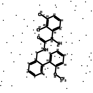 O=C(NCc1cccnc1-c1ccccc1OC(F)(F)F)N(S)c1cccc(Cl)c1Cl